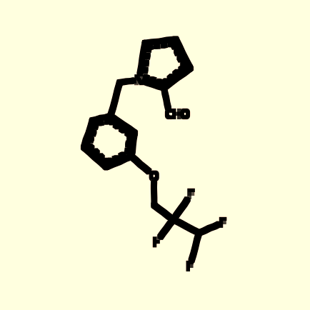 O=Cc1cccn1Cc1cccc(OCC(F)(F)C(F)F)c1